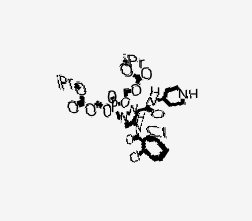 CC(C)OC(=O)OCOP(=O)(Cn1cc(NC(=O)c2c(Cl)cccc2Cl)c(C(=O)NC2CCNCC2)n1)OCOC(=O)OC(C)C